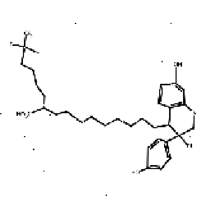 CCC1(c2ccc(O)cc2)CSc2cc(O)ccc2C1CCCCCCCCCC(CCCCC(F)(F)C(F)(F)F)C(=O)O